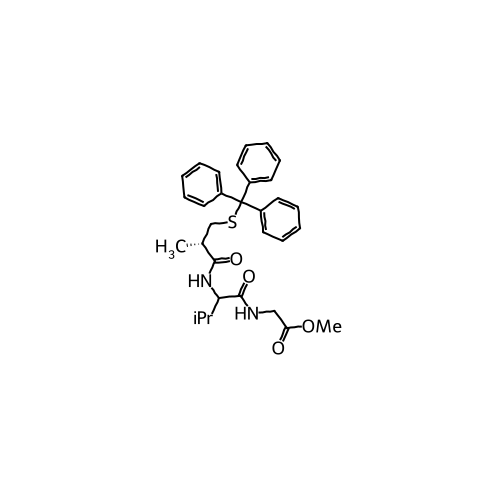 COC(=O)CNC(=O)C(NC(=O)[C@H](C)CSC(c1ccccc1)(c1ccccc1)c1ccccc1)C(C)C